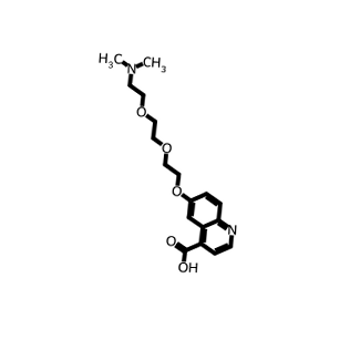 CN(C)CCOCCOCCOc1ccc2nccc(C(=O)O)c2c1